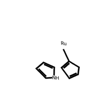 CC1=CC=CC1.[Ru].c1cc[nH]c1